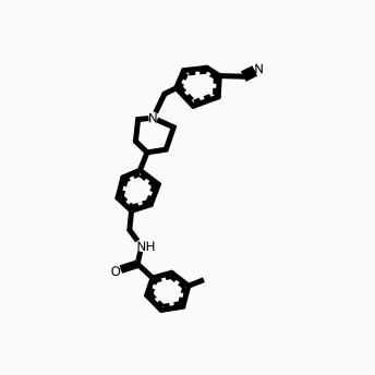 Cc1cccc(C(=O)NCc2ccc(C3CCN(Cc4ccc(C#N)cc4)CC3)cc2)c1